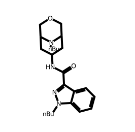 CCCCN1C2COCC1CC(NC(=O)c1nn(CCCC)c3ccccc13)C2